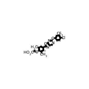 Cc1cc(-c2nc3cnc(Oc4ccc(Cl)c(C(F)(F)F)c4)nc3o2)cc(C)c1OCC(=O)O